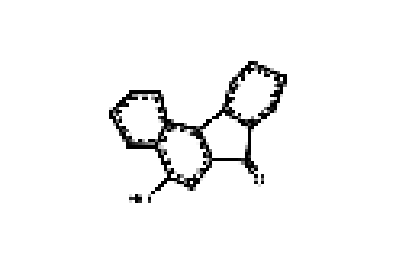 O=C1c2ccccc2-c2c1cc(O)c1ccccc21